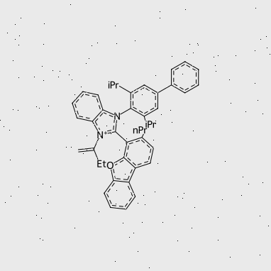 C=C(CC)[n+]1c(-c2c(CCC)ccc3c2oc2ccccc23)n(-c2c(C(C)C)cc(-c3ccccc3)cc2C(C)C)c2ccccc21